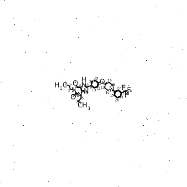 CCCn1c(=O)c2[nH]c(-c3ccc(OC4CCN(c5cccc(C(F)(F)F)c5)CC4)cc3)nc2n(CCC)c1=O